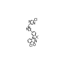 CC1(C)c2ccc(-c3cnn(Cc4cnc(Cl)cn4)c3)cc2-n2c1nc(=O)c1c(Cl)cccc12